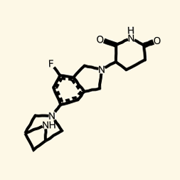 O=C1CCC(N2Cc3cc(N4CC5CC(C4)N5)cc(F)c3C2)C(=O)N1